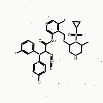 CC1CNCC(CCc2c(F)cncc2NC(=O)C(N=[N+]=[N-])C(c2ccc(Cl)cc2)c2cccc(F)c2)N1S(=O)(=O)C1CC1